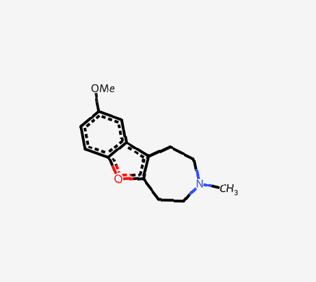 COc1ccc2oc3c(c2c1)CCN(C)CC3